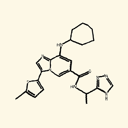 Cc1ccc(-c2cnc3c(NC4CCCCC4)cc(C(=O)NC(C)c4nnc[nH]4)cn23)s1